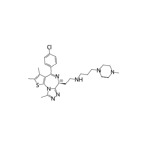 Cc1sc2c(c1C)C(c1ccc(Cl)cc1)=N[C@@H](CCNCCCN1CCN(C)CC1)c1nnc(C)n1-2